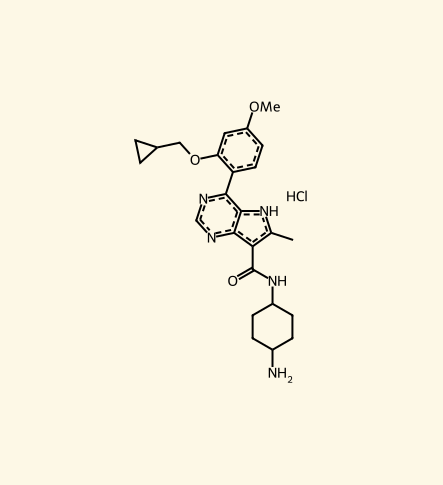 COc1ccc(-c2ncnc3c(C(=O)NC4CCC(N)CC4)c(C)[nH]c23)c(OCC2CC2)c1.Cl